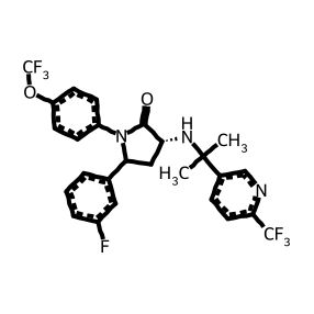 CC(C)(N[C@@H]1CC(c2cccc(F)c2)N(c2ccc(OC(F)(F)F)cc2)C1=O)c1ccc(C(F)(F)F)nc1